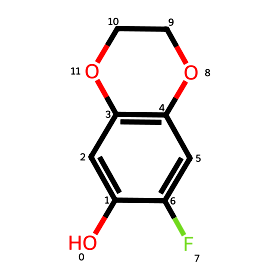 Oc1cc2c(cc1F)OCCO2